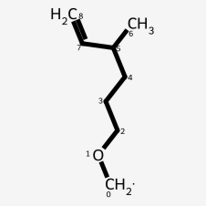 [CH2]OCCCC(C)C=C